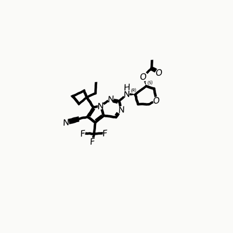 CCC1(c2c(C#N)c(C(F)(F)F)c3cnc(N[C@@H]4CCOC[C@H]4OC(C)=O)nn23)CCC1